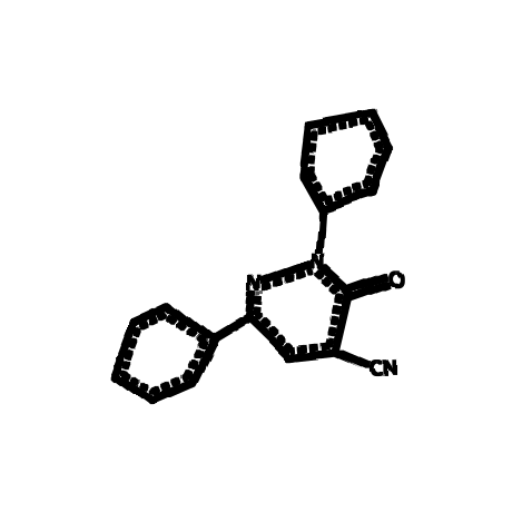 N#Cc1cc(-c2ccccc2)nn(-c2ccccc2)c1=O